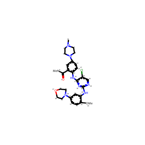 CNC(=O)c1cc(N2CCN(C)CC2)ccc1Nc1nc(Nc2cc(N3CCOCC3)ccc2OC)ncc1Cl